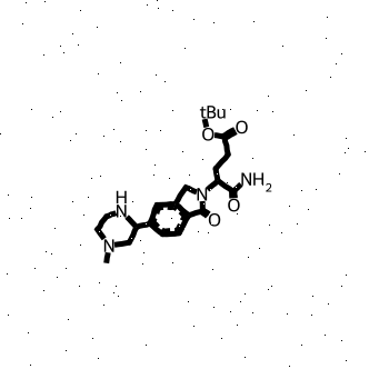 CN1CCNC(c2ccc3c(c2)CN(C(CCC(=O)OC(C)(C)C)C(N)=O)C3=O)C1